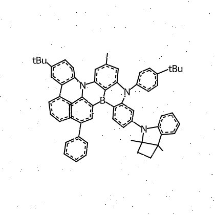 Cc1cc2c3c(c1)N(c1ccc(C(C)(C)C)cc1-c1ccccc1)c1ccc(-c4ccccc4)cc1B3c1ccc(N3c4ccccc4C4(C)CCC34C)cc1N2c1ccc(C(C)(C)C)cc1